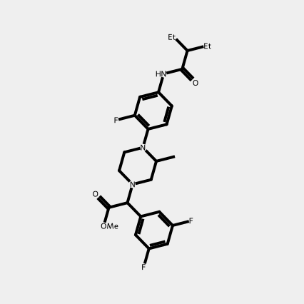 CCC(CC)C(=O)Nc1ccc(N2CCN(C(C(=O)OC)c3cc(F)cc(F)c3)CC2C)c(F)c1